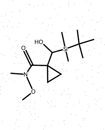 CON(C)C(=O)C1(C(O)[Si](C)(C)C(C)(C)C)CC1